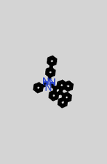 c1ccc(-c2ccc(-c3nc(-c4ccccc4)nc(-c4c5ccccc5c(-c5cccc6ccccc56)c5c4ccc4ccccc45)n3)cc2)cc1